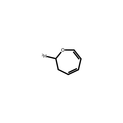 [2H]C1CC=CC=CO1